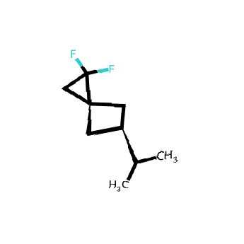 CC(C)[C@H]1C[C@]2(CC2(F)F)C1